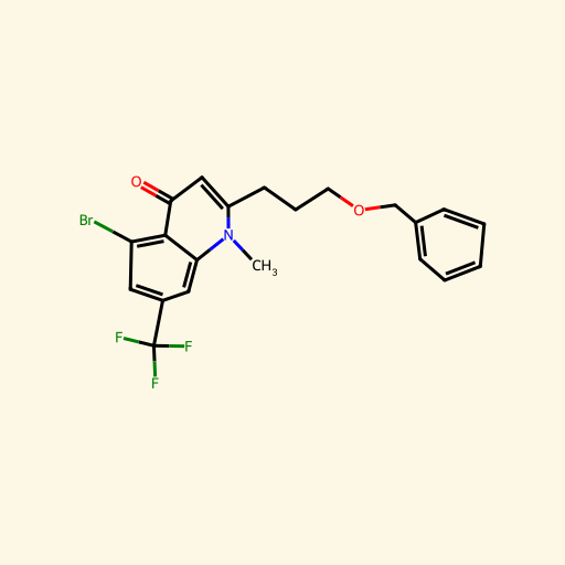 Cn1c(CCCOCc2ccccc2)cc(=O)c2c(Br)cc(C(F)(F)F)cc21